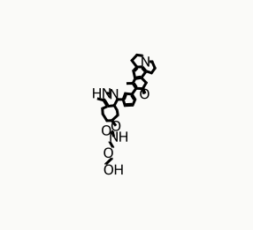 CC1=C2CCCC(OC(=O)NCCOCCO)CCC2C(c2cccc(C3=C(C)c4cc5c6c(c4CC3=O)CCCN6CCC5)c2)=NN1